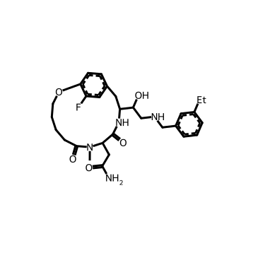 CCc1cccc(CNCC(O)C2Cc3ccc(c(F)c3)OCCCCC(=O)N(C)C(CC(N)=O)C(=O)N2)c1